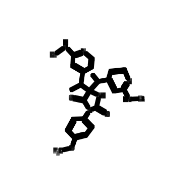 CCNc1cc(C(C)C2(C(C)c3ccnc(NCC)c3)NC(=O)N(c3ccc(OC(F)(F)F)cc3)C2=O)ccn1